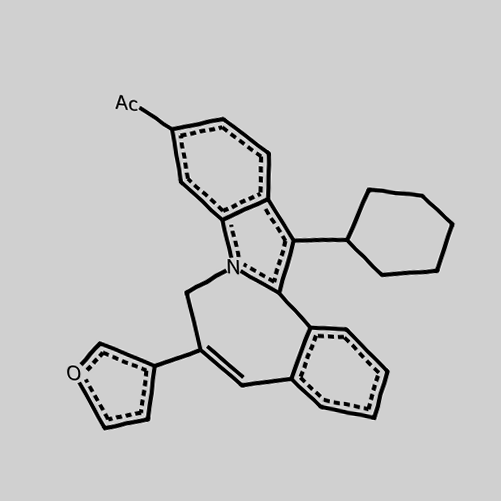 CC(=O)c1ccc2c(C3CCCCC3)c3n(c2c1)CC(c1ccoc1)=Cc1ccccc1-3